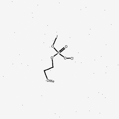 COCCOP(=O)(OCl)OI